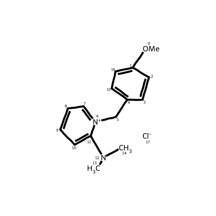 COc1ccc(C[n+]2ccccc2N(C)C)cc1.[Cl-]